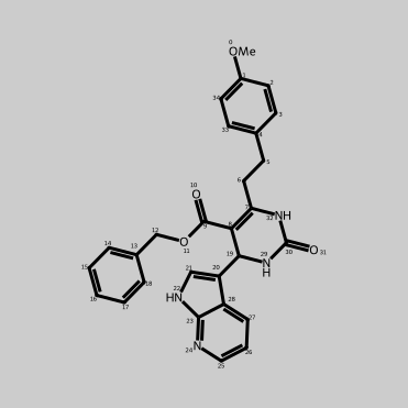 COc1ccc(CCC2=C(C(=O)OCc3ccccc3)C(c3c[nH]c4ncccc34)NC(=O)N2)cc1